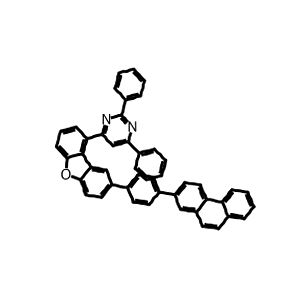 c1ccc(-c2cc(-c3cccc4oc5ccc(-c6ccc(-c7ccc8c(ccc9ccccc98)c7)cc6)cc5c34)nc(-c3ccccc3)n2)cc1